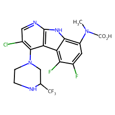 CN(C(=O)O)c1cc(F)c(F)c2c1[nH]c1ncc(Cl)c(N3CCNC(C(F)(F)F)C3)c12